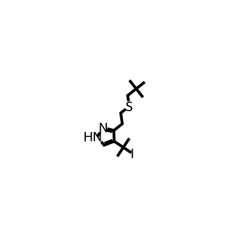 CC(C)(C)CSCCc1n[nH]cc1C(C)(C)I